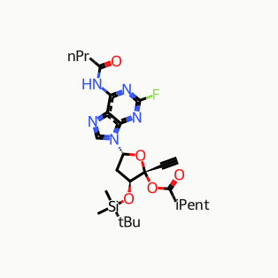 C#C[C@]1(OC(=O)C(C)CCC)O[C@@H](n2cnc3c(NC(=O)CCC)nc(F)nc32)C[C@@H]1O[Si](C)(C)C(C)(C)C